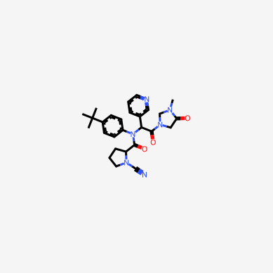 CN1CN(C(=O)C(c2cccnc2)N(C(=O)C2CCCN2C#N)c2ccc(C(C)(C)C)cc2)CC1=O